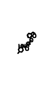 CC1CCC(NC(=O)N2CC(Oc3cccc4ccoc34)C2)CC1